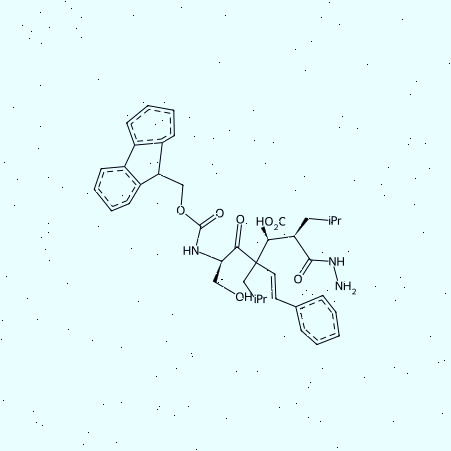 CC(C)C[C@@H](C(=O)NN)[C@H](C(=O)O)C(/C=C/c1ccccc1)(CC(C)C)C(=O)[C@@H](CO)NC(=O)OCC1c2ccccc2-c2ccccc21